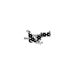 CCOCc1cc(OC)c(-c2ccc(CC(NC(=O)c3c(F)cc(NS(=O)(=O)c4ccc(-c5ccnc(F)c5)cc4)cc3F)C(=O)O)c3c2CCCO3)c(OC)c1